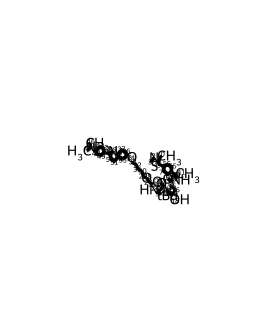 Cc1ncsc1-c1ccc([C@H](C)NC(=O)[C@@H]2C[C@@H](O)CN2C(=O)C(NC(=O)COCCCCCOc2ccc3nc(-c4ccc(N(C)C)cc4)ccc3c2)C(C)(C)C)cc1